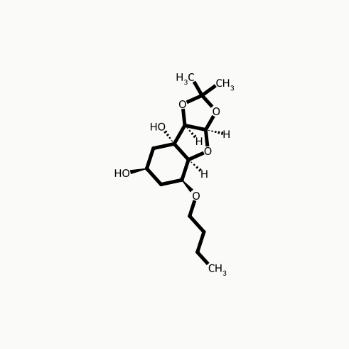 CCCCO[C@H]1C[C@@H](O)C[C@@]2(O)[C@H]3OC(C)(C)O[C@H]3O[C@@H]12